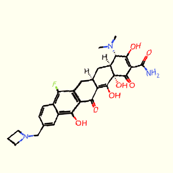 CN(C)[C@@H]1C(O)=C(C(N)=O)C(=O)[C@@]2(O)C(O)=C3C(=O)c4c(c(F)c5ccc(CN6CCC6)cc5c4O)C[C@H]3C[C@@H]12